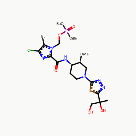 CCc1c(Cl)nc(C(=O)N[C@@H]2CCN(c3nnc(C(C)(O)CO)s3)C[C@@H]2OC)n1COP(=O)(OCC(C)C)OCC(C)C